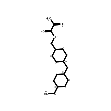 C=C(C)C(=O)OCC1CCC(CC2CCC(CO)CC2)CC1